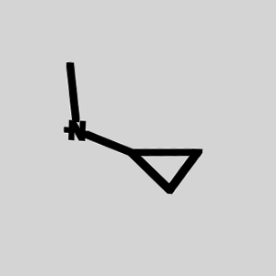 C[N]C1CC1